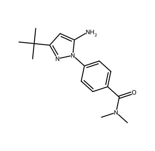 CN(C)C(=O)c1ccc(-n2nc(C(C)(C)C)cc2N)cc1